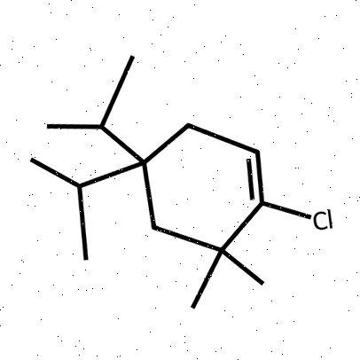 CC(C)C1(C(C)C)CC=C(Cl)C(C)(C)C1